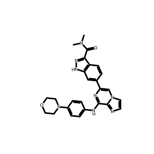 CN(C)C(=O)c1n[nH]c2cc(-c3cn4ccnc4c(Nc4ccc(N5CCOCC5)cc4)n3)ccc12